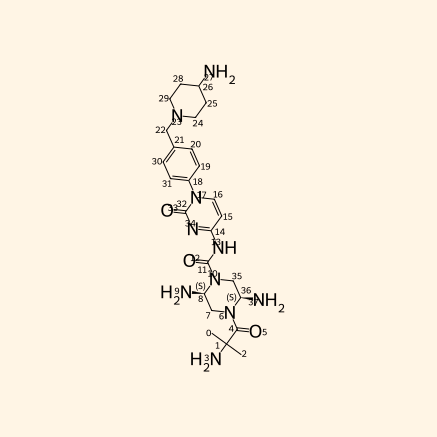 CC(C)(N)C(=O)N1C[C@@H](N)N(C(=O)Nc2ccn(-c3ccc(CN4CCC(N)CC4)cc3)c(=O)n2)C[C@H]1N